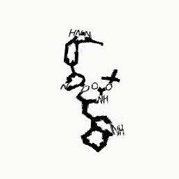 Cc1n[nH]c2ccc(-c3cncc(OCC(Cc4c[nH]c5ccccc45)NC(=O)OC(C)(C)C)c3)cc12